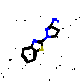 NC1=NN(c2nc3ccccc3s2)CC1